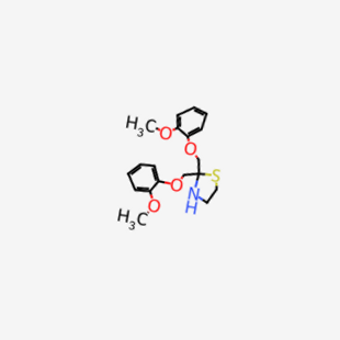 COc1ccccc1OCC1(COc2ccccc2OC)NCCS1